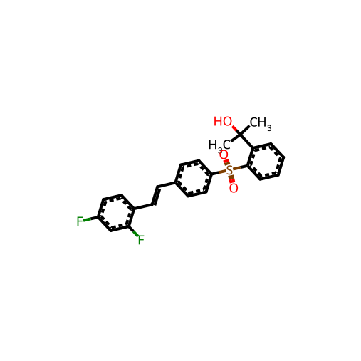 CC(C)(O)c1ccccc1S(=O)(=O)c1ccc(/C=C/c2ccc(F)cc2F)cc1